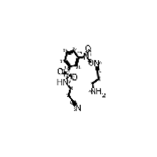 N#CCCN.N#CCCNS(=O)(=O)c1cccc([N+](=O)[O-])c1